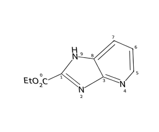 CCOC(=O)c1nc2ncccc2[nH]1